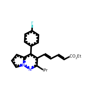 CCOC(=O)C=CC=Cc1c(C(C)C)nn2cccc2c1-c1ccc(F)cc1